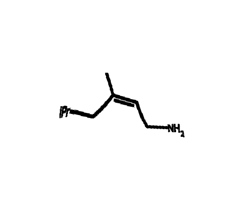 C/C(=C/CN)CC(C)C